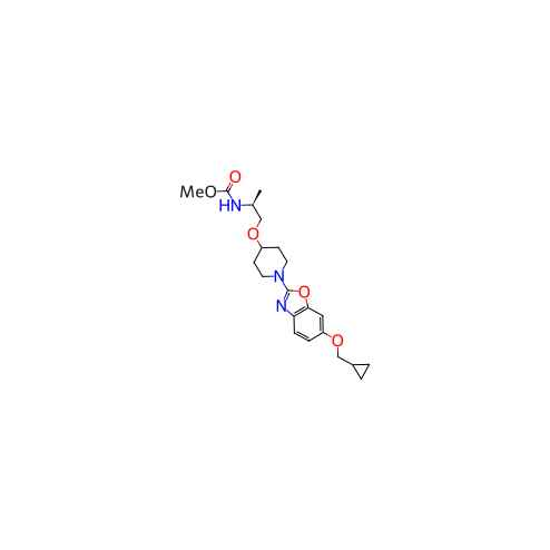 COC(=O)N[C@@H](C)COC1CCN(c2nc3ccc(OCC4CC4)cc3o2)CC1